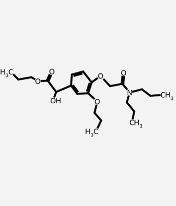 CCCOC(=O)C(O)c1ccc(OCC(=O)N(CCC)CCC)c(OCCC)c1